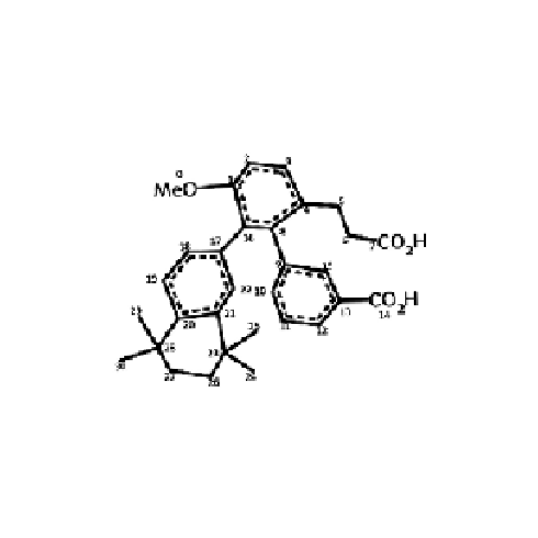 COc1ccc(CCC(=O)O)c(-c2cccc(C(=O)O)c2)c1-c1ccc2c(c1)C(C)(C)CCC2(C)C